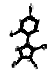 N#Cc1c(-c2ccc(Cl)cc2Cl)[nH]c(Br)c1Br